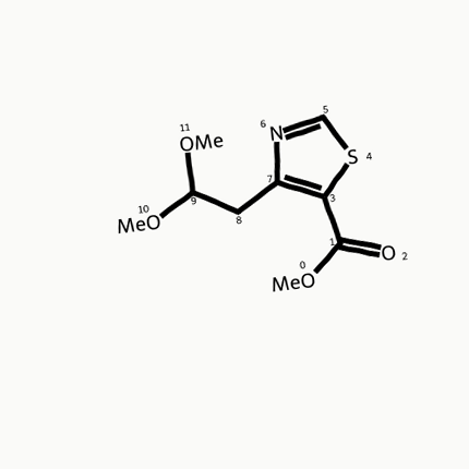 COC(=O)c1scnc1CC(OC)OC